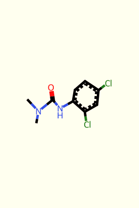 CN(C)C(=O)Nc1ccc(Cl)cc1Cl